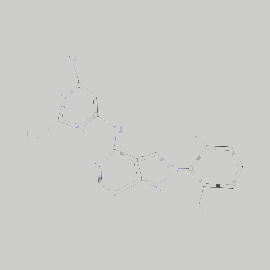 Cc1nc(N)cc(Nc2nccc3nn(-c4c(Cl)cccc4Cl)cc23)n1